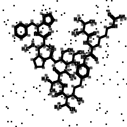 CC[C@H](C)[C@@H]([C@@H](CC(=O)N1CCC[C@H]1[C@H](OC)[C@@H](C)C(=O)N[C@@H](Cc1ccccc1)c1nccs1)OC)N(C)C(=O)[C@@H](NC(=O)[C@H](C(C)C)N(C)CCc1ccc(NC(=O)[C@H](CCCCNC(N)=O)NC(=O)[C@@H](N)C(C)C)cc1)C(C)C